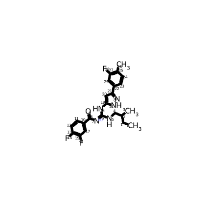 CCC(C)CN/C(=N/C(=O)c1ccc(F)c(F)c1)Nc1cc(-c2ccc(C)c(F)c2)n[nH]1